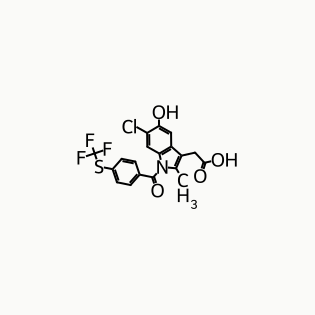 Cc1c(CC(=O)O)c2cc(O)c(Cl)cc2n1C(=O)c1ccc(SC(F)(F)F)cc1